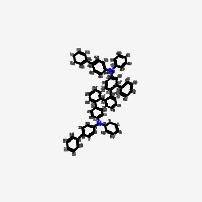 C1=CCC(N(c2ccc(-c3ccccc3)cc2)c2ccc(-c3ccccc3-c3ccccc3-c3ccc(N(c4ccccc4)c4ccc(C5=CCCC=C5)cc4)cc3-c3ccccc3)cc2)C=C1